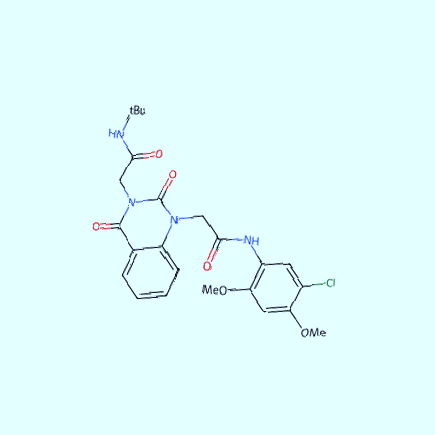 COc1cc(OC)c(NC(=O)Cn2c(=O)n(CC(=O)NC(C)(C)C)c(=O)c3ccccc32)cc1Cl